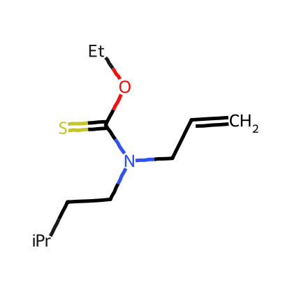 C=CCN(CCC(C)C)C(=S)OCC